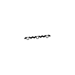 CCOCCCCCOCCCCCOCC